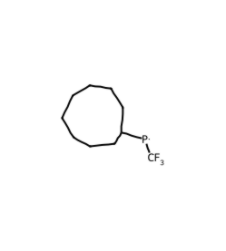 FC(F)(F)[P]C1CCCCCCCC1